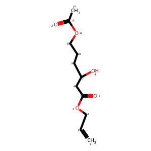 C=CCOC(=O)CC(O)CCCOC(C)=O